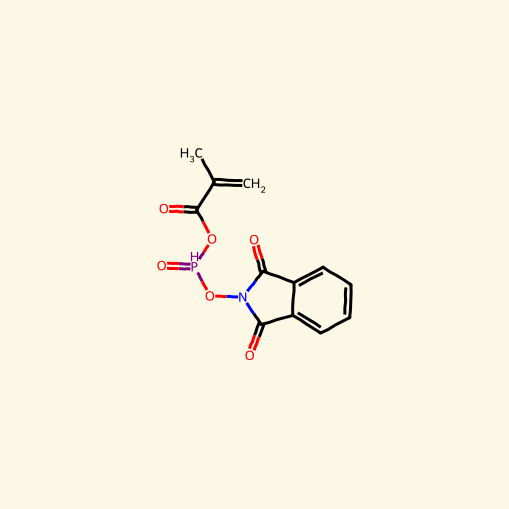 C=C(C)C(=O)O[PH](=O)ON1C(=O)c2ccccc2C1=O